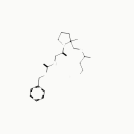 CC1(CNC(CCC(=O)O)C(=O)O)CCCN1C(=O)CNC(=O)OCc1ccccc1